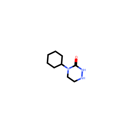 O=C1NNCCN1C1CCCCC1